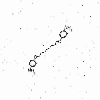 Nc1ccc(OCCCCCCCCOc2ccc(N)cc2)cc1